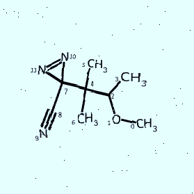 COC(C)C(C)(C)C1(C#N)N=N1